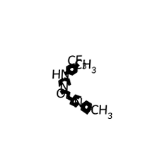 Cc1ccc(N2CCC(CCC(=O)N3CCC(Nc4ccc(C)c(C(F)(F)F)c4)CC3)CC2)cc1